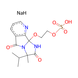 CC(C)C1(C)C(=O)NC2(OCCOS(=O)(=O)O)c3ncccc3C(=O)N21.[NaH]